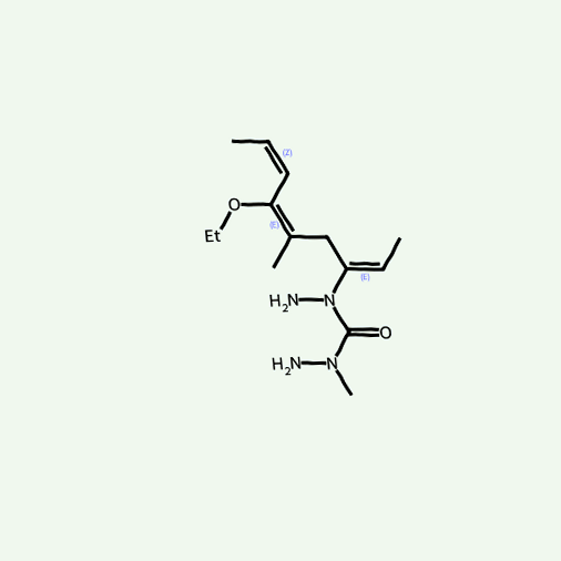 C/C=C\C(OCC)=C(\C)C/C(=C\C)N(N)C(=O)N(C)N